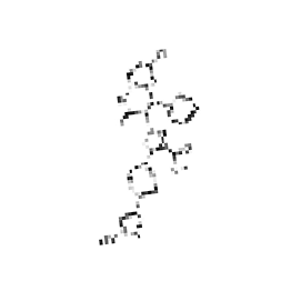 CCCC(=O)N1N=C(c2c(-c3ccccc3)c3cc(Cl)ccc3[nH]c2=O)CC1c1ccc(-c2cnn(CCC)c2)cc1